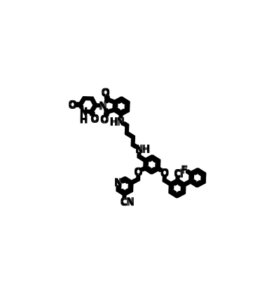 N#Cc1cncc(COc2cc(OCc3cccc(-c4ccccc4F)c3Cl)ccc2CNCCCCNc2cccc3c2C(=O)N(C2CCC(=O)NC2=O)C3=O)c1